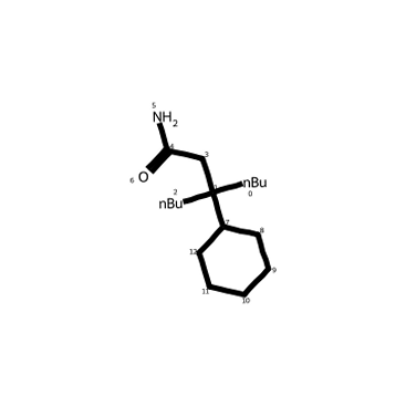 CCCCC(CCCC)(CC(N)=O)C1CCCCC1